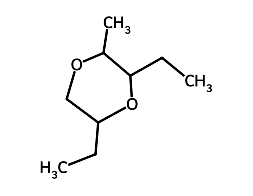 CCC1COC(C)C(CC)O1